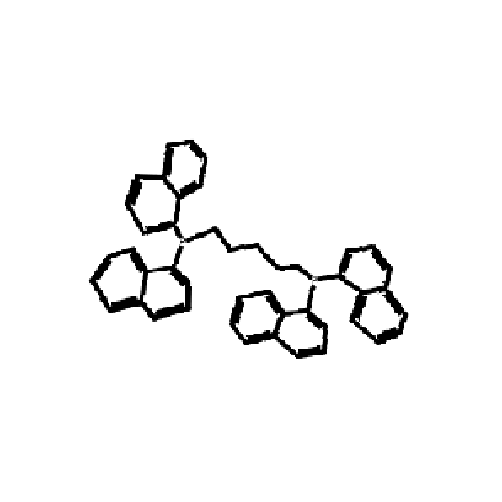 c1ccc2c(P(CCCCCP(c3cccc4ccccc34)c3cccc4ccccc34)c3cccc4ccccc34)cccc2c1